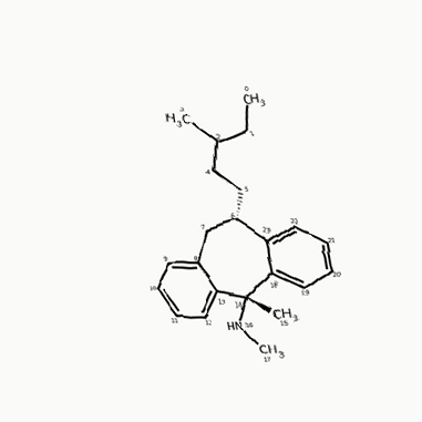 CCC(C)CC[C@H]1Cc2ccccc2[C@@](C)(NC)c2ccccc21